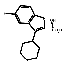 Fc1ccc2[nH]cc(C3CCCCC3)c2c1.O=C(O)O